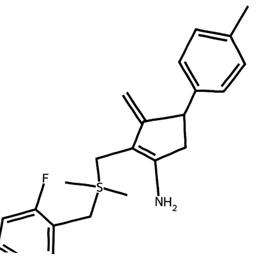 C=C1C(CS(C)(C)Cc2ccccc2F)=C(N)CC1c1ccc(C)cc1